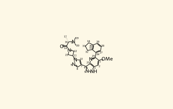 COc1cc2[nH]nc(-c3cnn(C4CN(C(=O)[C@H](C)N(C)C)C4)c3)c2nc1-c1cccc2c1CCC2